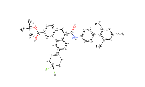 Cc1cc(C)c(-c2ccc(NC(=O)[C@H](Cc3ccc(C(=O)OC(C)(C)C)cc3)c3ccc(C4=CCC(F)(F)CC4)cc3)cc2)c(C)c1